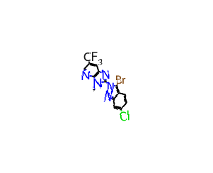 Cn1c(-n2nc3cc(Cl)ccc3c2Br)nc2cc(C(F)(F)F)cnc21